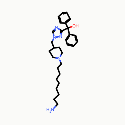 NCCCCCCCCCN1CCC(Cn2cnc(C(O)(c3ccccc3)c3ccccc3)n2)CC1